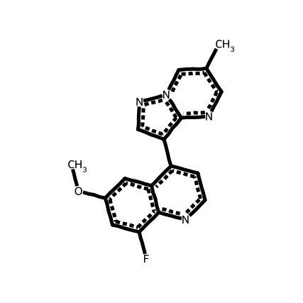 COc1cc(F)c2nccc(-c3cnn4cc(C)cnc34)c2c1